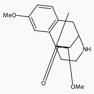 COc1ccc2c(c1)C13CCNC(C2)C1CC(OC)C(=O)C3